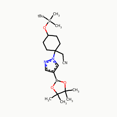 CC1(C)OB(c2cnn(C3(CC#N)CCC(O[Si](C)(C)C(C)(C)C)CC3)c2)OC1(C)C